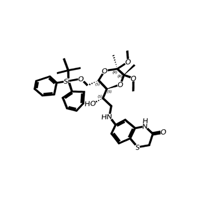 CO[C@]1(C)O[C@@H]([C@@H](O)CNc2ccc3c(c2)NC(=O)CS3)[C@H](CO[Si](c2ccccc2)(c2ccccc2)C(C)(C)C)O[C@@]1(C)OC